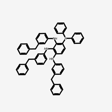 c1ccc(Cc2cccc(Nc3ccc(N(c4ccccc4)c4ccccc4)c(Nc4cccc(Cc5ccccc5)c4)c3Nc3cccc(Cc4ccccc4)c3)c2)cc1